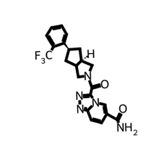 NC(=O)c1ccc2nnc(C(=O)N3CC4C[C@@H](c5ccccc5C(F)(F)F)C[C@H]4C3)n2c1